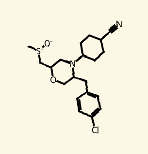 C[S+]([O-])CC1CN(C2CCC(C#N)CC2)C(Cc2ccc(Cl)cc2)CO1